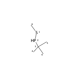 CSPC(C)(C)C